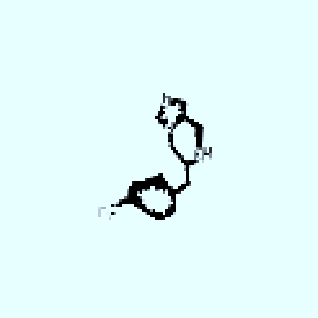 FC(F)(F)c1ccc(CC2Cn3cncc3CN2)cc1